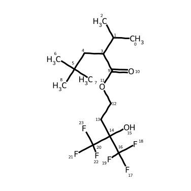 CC(C)C(CC(C)(C)C)C(=O)OCCC(O)(C(F)(F)F)C(F)(F)F